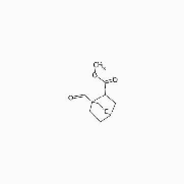 COC(=O)C1CC2CCC1(C=O)CC2